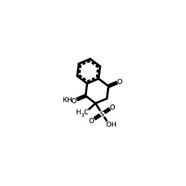 CC1(S(=O)(=O)O)CC(=O)c2ccccc2C1=O.[KH]